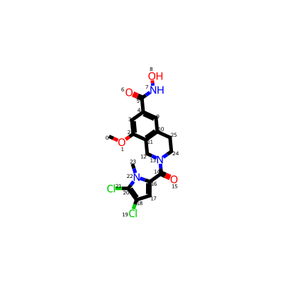 COc1cc(C(=O)NO)cc2c1CN(C(=O)c1cc(Cl)c(Cl)n1C)CC2